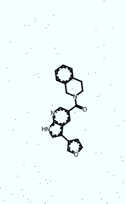 O=C(c1cnc2[nH]cc(-c3ccoc3)c2c1)N1CCc2ccccc2C1